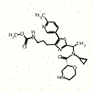 COC(=O)NCCCc1nc([C@@H](C)N(C(=O)[C@H]2CNCCO2)C2CC2)sc1-c1ccc(C)nc1